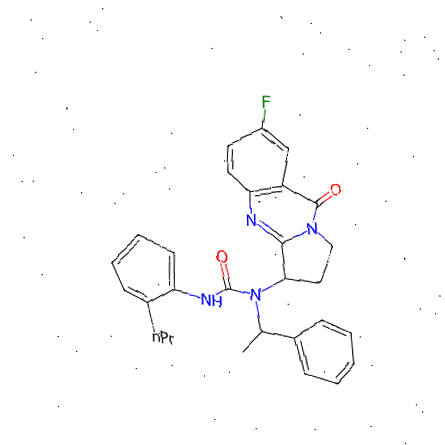 CCCc1ccccc1NC(=O)N(C(C)c1ccccc1)C1CCn2c1nc1ccc(F)cc1c2=O